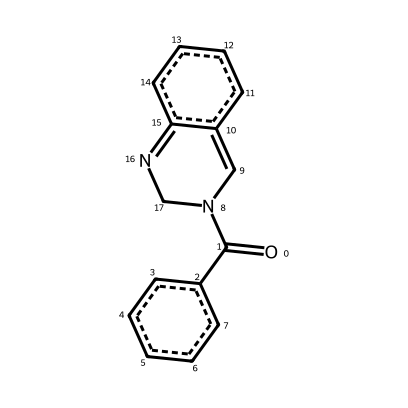 O=C(c1ccccc1)N1C=c2ccccc2=NC1